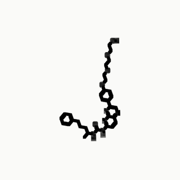 CC(CCCc1ccccc1)NC(=O)Nc1ccc2ncc(-c3ccc(OCCOCCOCCO)cc3)nc2n1